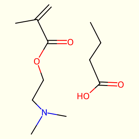 C=C(C)C(=O)OCCN(C)C.CCCC(=O)O